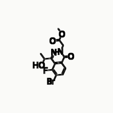 COC(=O)Cn1nc(C(C)O)c2c(F)c(Br)ccc2c1=O